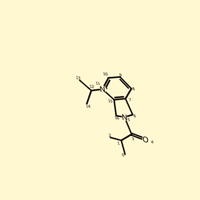 CC(C)C(=O)N1Cc2ccc[n+](C(C)C)c2C1